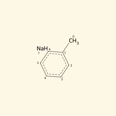 Cc1c[c]ccc1.[NaH]